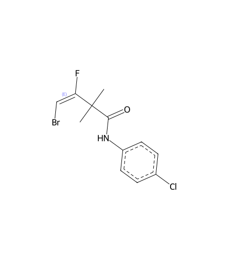 CC(C)(C(=O)Nc1ccc(Cl)cc1)/C(F)=C\Br